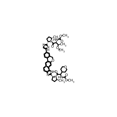 COC(=O)NC(C(=O)N1[C@@H](C)CC[C@H]1c1nc2ccc3cc4c(cc3c2[nH]1)OCc1cc(-c2cnc([C@@H]3CC[C@H](C)N3C(=O)[C@@H](NC(=O)OC)[C@@H](C)OC)[nH]2)ccc1-4)C1CCOCC1